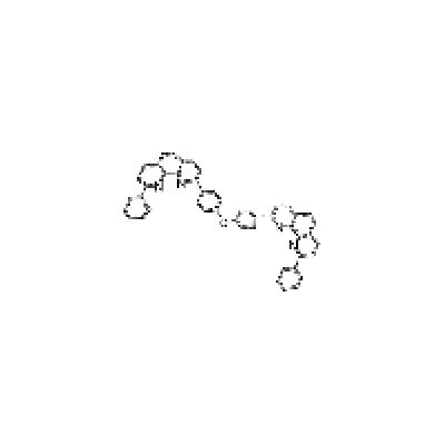 c1ccc(-c2ccc3ccc4ccc(-c5ccc(Oc6ccc(-c7ccc8ccc9ccc(-c%10ccccc%10)nc9c8n7)cc6)cc5)nc4c3n2)cc1